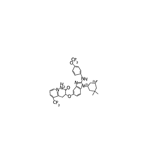 C[C@@H]1C[C@H](n2c(Nc3ccc(OC(F)(F)F)cc3)nc3cc(OC(Cc4ncccc4C(F)(F)F)C(N)=O)ccc32)CC(C)(C)C1